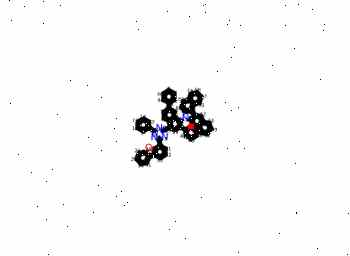 c1ccc(-c2ccc3c(-c4nc(-c5ccccc5)nc(-c5cccc6c5oc5ccccc56)n4)cc(-c4ccccc4)c(-n4c5cc6ccccc6cc5c5c6ccccc6ccc54)c3c2)cc1